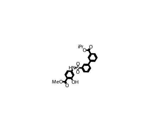 COC(=O)c1ccc(NS(=O)(=O)c2cccc(-c3cccc(C(=O)OC(C)C)c3)c2)cc1O